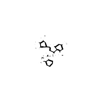 COc1cc(OC)c2c(=O)c(OS(=O)(=O)c3ccccc3[N+](=O)[O-])c(-c3cc(OC)c(OC)c(OC)c3)oc2c1